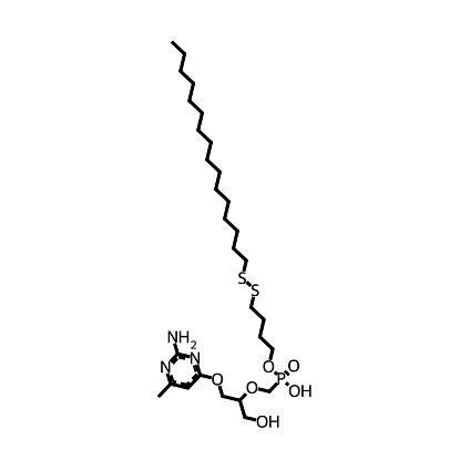 CCCCCCCCCCCCCCCCSSCCCCOP(=O)(O)COC(CO)COc1cc(C)nc(N)n1